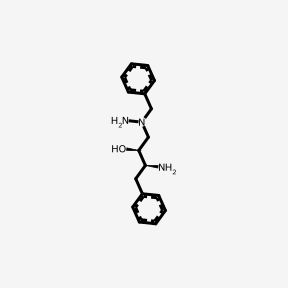 N[C@@H](Cc1ccccc1)[C@@H](O)CN(N)Cc1ccccc1